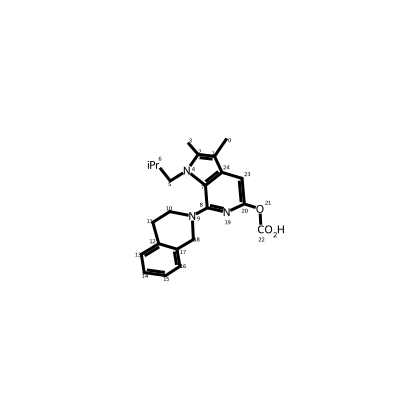 Cc1c(C)n(CC(C)C)c2c(N3CCc4ccccc4C3)nc(OC(=O)O)cc12